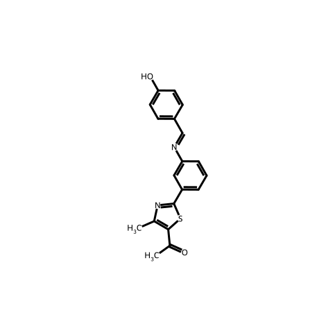 CC(=O)c1sc(-c2cccc(N=Cc3ccc(O)cc3)c2)nc1C